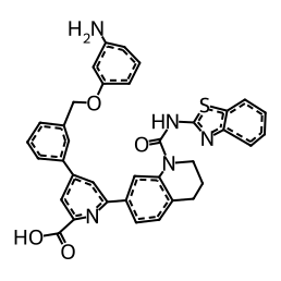 Nc1cccc(OCc2cccc(-c3cc(C(=O)O)nc(-c4ccc5c(c4)N(C(=O)Nc4nc6ccccc6s4)CCC5)c3)c2)c1